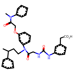 CC(CCN(C(=O)CNC(=O)Nc1cccc(CC(=O)O)c1)c1cccc(OCC(=O)N(C)c2ccccc2)c1)c1ccccc1